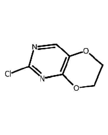 Clc1ncc2c(n1)OCCO2